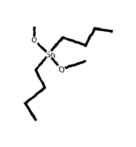 CCC[CH2][Sn]([CH2]CCC)([O]C)[O]C